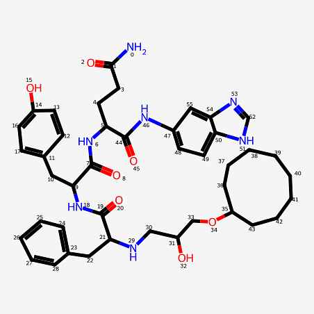 NC(=O)CCC(NC(=O)C(Cc1ccc(O)cc1)NC(=O)C(Cc1ccccc1)NCC(O)COC1CCCCCCCC1)C(=O)Nc1ccc2[nH]cnc2c1